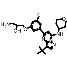 CC(C)(C)c1cnn2c(NC3CCOCC3)cc(-c3cc(Cl)cc(OCC(O)CN)c3)nc12